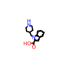 O=C(O)c1cc2ccccc2n1CC1CCNCC1